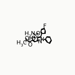 CN(O)C(=O)C=Cc1nn(-c2ccccc2)c(-c2ccc(F)cc2)c1S(N)(=O)=O